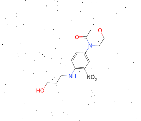 O=C1COCCN1c1ccc(NCCCO)c([N+](=O)[O-])c1